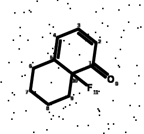 O=C1C=CC=C2CCCCC12F